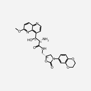 COc1ccc2nccc([C@H](O)[C@H](N)C(=O)NC[C@@H]3CN(c4ccc5c(c4)OCCO5)C(=O)O3)c2n1